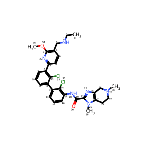 CCNCc1ccc(-c2cccc(-c3cccc(NC(=O)c4nc5c(n4C)CCN(C)C5)c3Cl)c2Cl)nc1OC